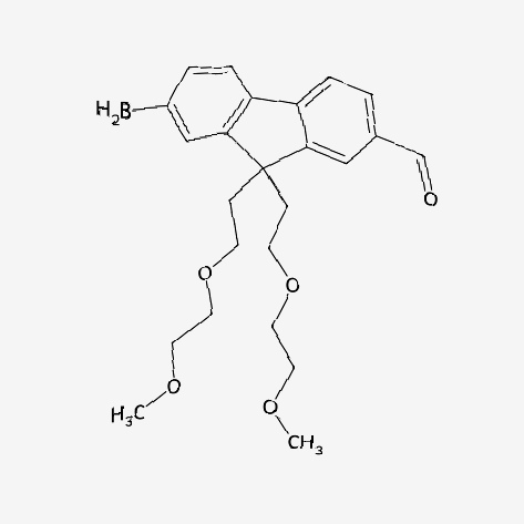 Bc1ccc2c(c1)C(CCOCCOC)(CCOCCOC)c1cc(C=O)ccc1-2